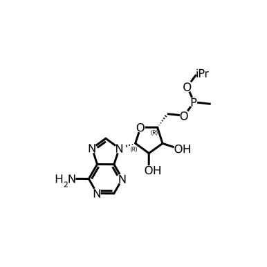 CC(C)OP(C)OC[C@H]1O[C@@H](n2cnc3c(N)ncnc32)C(O)C1O